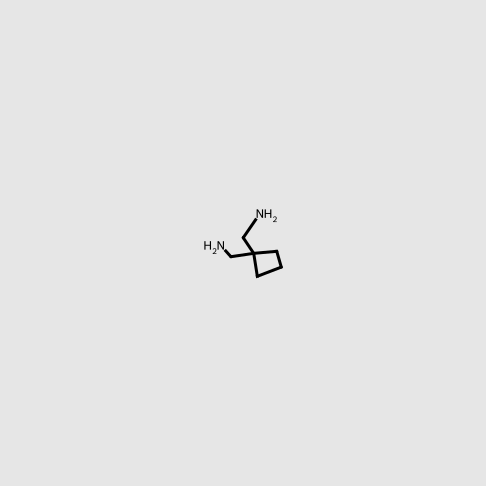 NCC1(CN)CCC1